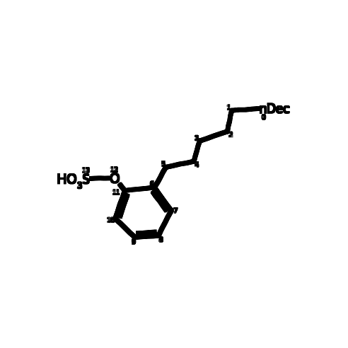 CCCCCCCCCCCCCCCc1ccccc1OS(=O)(=O)O